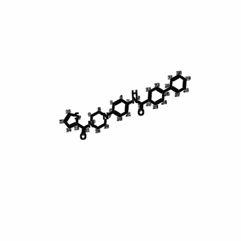 O=C(Nc1ccc(N2CCN(C(=O)c3cccs3)CC2)cc1)c1ccc(-c2ccccc2)cc1